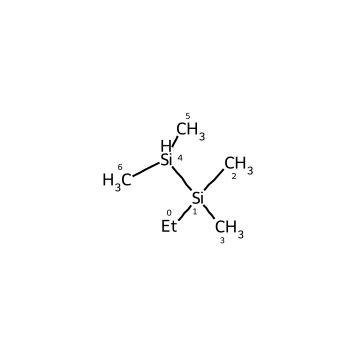 CC[Si](C)(C)[SiH](C)C